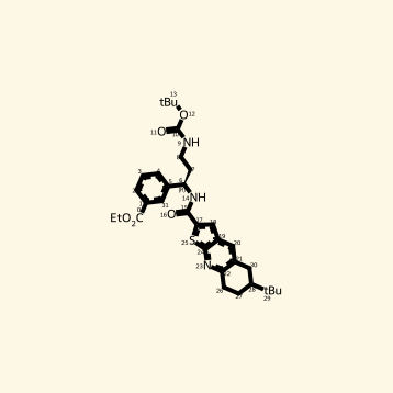 CCOC(=O)c1cccc([C@@H](CCNC(=O)OC(C)(C)C)NC(=O)c2cc3cc4c(nc3s2)CCC(C(C)(C)C)C4)c1